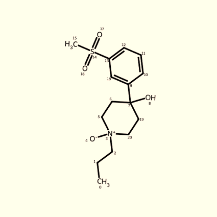 CCC[N+]1([O-])CCC(O)(c2cccc(S(C)(=O)=O)c2)CC1